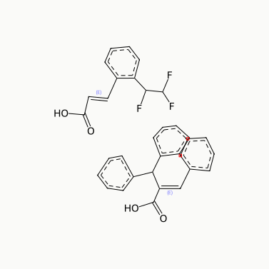 O=C(O)/C(=C/c1ccccc1)C(c1ccccc1)c1ccccc1.O=C(O)/C=C/c1ccccc1C(F)C(F)F